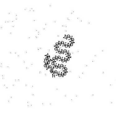 C[SiH](O[SiH](C)O[SiH](C)O[Si](C)(C)C)O[SiH](C)O[SiH](C)O[Si](C)(C)O[Si](C)(C)O[Si](C)(C)O[Si](C)(C)O[Si](C)(C)O[Si](C)(C)O[Si](C)(C)O[Si](C)(C)O[Si](C)(C)O[Si](C)(C)O[Si](C)(C)O[Si](C)(C)O[Si](C)(C)O[Si](C)(C)O[Si](C)(C)O[Si](C)(C)O[Si](C)(C)O[Si](C)(C)O[Si](C)(C)O[Si](C)(C)O[Si](C)(C)C